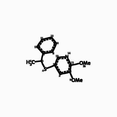 COc1cc(SC(C)c2ccccc2)cnc1OC